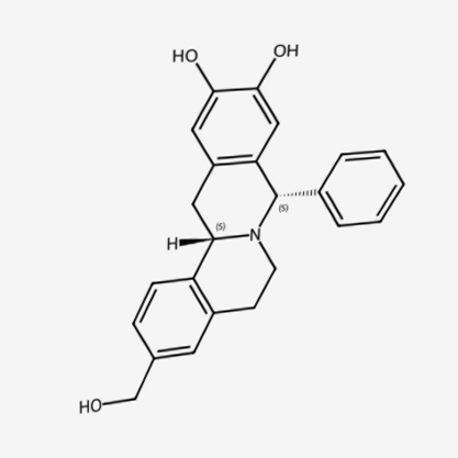 OCc1ccc2c(c1)CCN1[C@@H](c3ccccc3)c3cc(O)c(O)cc3C[C@@H]21